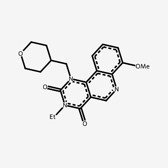 CCn1c(=O)c2cnc3c(OC)cccc3c2n(CC2CCOCC2)c1=O